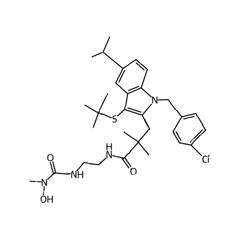 CC(C)c1ccc2c(c1)c(SC(C)(C)C)c(CC(C)(C)C(=O)NCCNC(=O)N(C)O)n2Cc1ccc(Cl)cc1